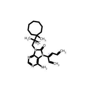 C=C/C=C(\C=C)n1c(=O)n(CC(C)(C)C2(C)CCCCCCC2)c2ncnc(N)c21